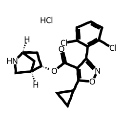 Cl.O=C(O[C@H]1C[C@H]2C[C@@H]1CN2)c1c(-c2c(Cl)cccc2Cl)noc1C1CC1